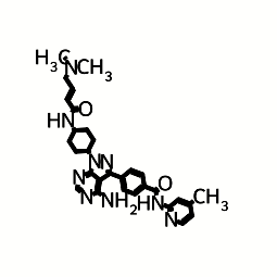 Cc1ccnc(NC(=O)c2ccc(-c3nn(C4CCC(NC(=O)/C=C/CN(C)C)CC4)c4ncnc(N)c34)cc2)c1